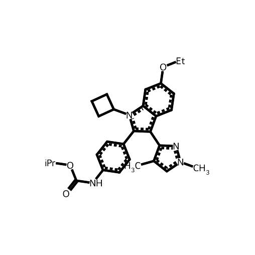 CCOc1ccc2c(-c3nn(C)cc3C)c(-c3ccc(NC(=O)OC(C)C)cc3)n(C3CCC3)c2c1